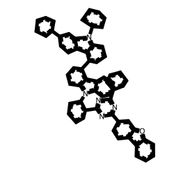 c1ccc(-c2ccc3c4c(-c5cccc6c5c5ccccc5n6-c5ccccc5-c5nc(-c6ccccc6)nc(-c6ccc7c(c6)oc6ccccc67)n5)cccc4n(-c4ccccc4)c3c2)cc1